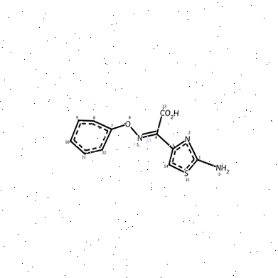 Nc1nc(/C(=N/Oc2ccccc2)C(=O)O)cs1